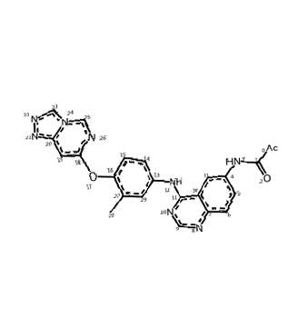 CC(=O)C(=O)Nc1ccc2ncnc(Nc3ccc(Oc4cc5nncn5cn4)c(C)c3)c2c1